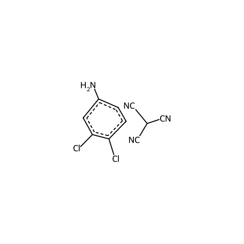 N#CC(C#N)C#N.Nc1ccc(Cl)c(Cl)c1